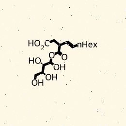 CCCCCCC=CC(CC(=O)O)C(=O)OC(O)[C@@H](O)[C@@H](O)CO